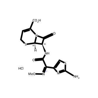 CO/N=C(\C(=O)N[C@@H]1C(=O)N2C(C(=O)O)=CCS[C@H]12)c1csc(N)n1.Cl